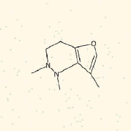 Cc1coc2c1N(C)N(C)CC2